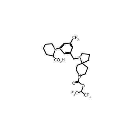 O=C(O)C1CCCCN1c1cc(CN2CCCC23CCN(C(=O)OC(C(F)(F)F)C(F)(F)F)CC3)cc(C(F)(F)F)c1